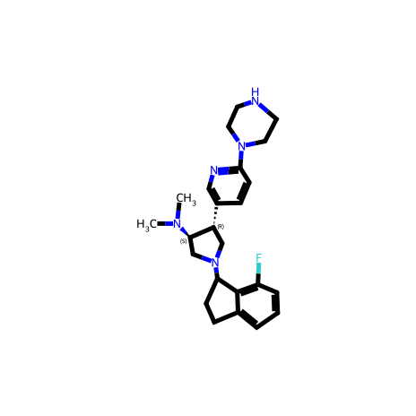 CN(C)[C@@H]1CN(C2CCc3cccc(F)c32)C[C@H]1c1ccc(N2CCNCC2)nc1